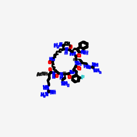 C=C(N)C1CCCNC(=O)CC[C@H](NC(=O)[C@H](CCCNC(=N)N)NC(C)=O)C(=O)N[C@@H](CCN)C(=O)N[C@H](Cc2ccccc2F)C(=O)N[C@@H](CCCNC(=N)N)C(=O)N[C@@H](Cc2c[nH]c3ccccc23)C(=O)N1